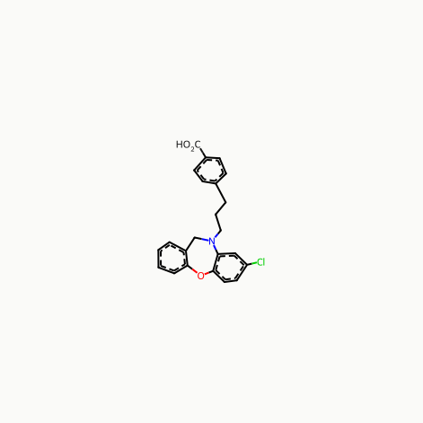 O=C(O)c1ccc(CCCN2Cc3ccccc3Oc3ccc(Cl)cc32)cc1